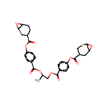 CC(COC(=O)c1ccc(OC(=O)C2CCC3OC3C2)cc1)OC(=O)c1ccc(OC(=O)C2CCC3OC3C2)cc1